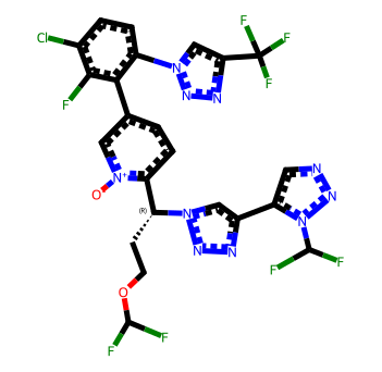 [O-][n+]1cc(-c2c(-n3cc(C(F)(F)F)nn3)ccc(Cl)c2F)ccc1[C@@H](CCOC(F)F)n1cc(-c2cnnn2C(F)F)nn1